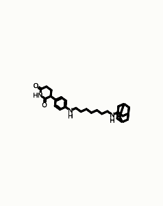 O=C1CCC(c2ccc(NCCCCCCCNC34CC5CC(CC(C5)C3)C4)cc2)C(=O)N1